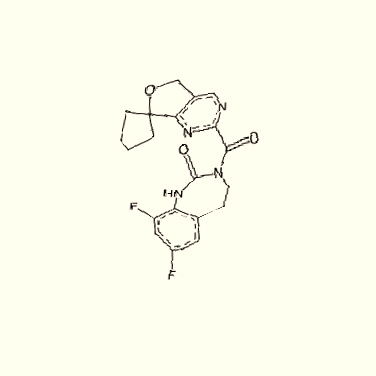 O=C1Nc2c(F)cc(F)cc2CCN1C(=O)c1ncc2c(n1)C1(CCCC1)OC2